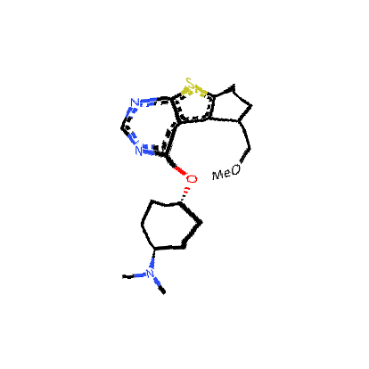 COCC1CCc2sc3ncnc(O[C@H]4CC[C@H](N(C)C)CC4)c3c21